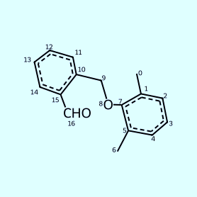 Cc1cccc(C)c1OCc1ccccc1C=O